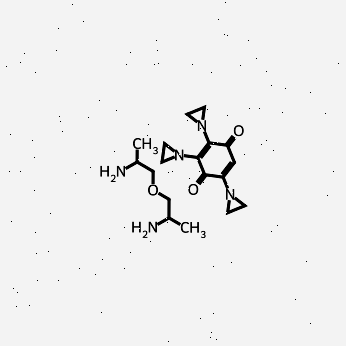 CC(N)COCC(C)N.O=C1C=C(N2CC2)C(=O)C(N2CC2)=C1N1CC1